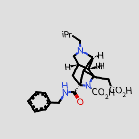 CC(C)CN1C[C@H]2C[C@@]3(C(=O)NCc4ccccc4)[C@H](CCC(=O)O)[C@@H]1[C@@H]2CN3C(=O)O